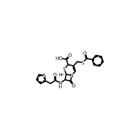 O=C(Cc1cccs1)NC1C(=O)N2C=C(CSC(=O)c3ccccc3)C(C(=O)O)S[C@H]12